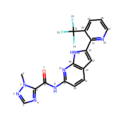 Cn1ncnc1C(=O)Nc1ccc2cc(-c3ncccc3C(F)(F)F)[nH]c2n1